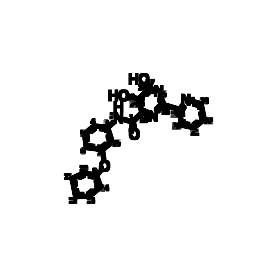 O=C(Nc1cccc(Oc2ccccc2)c1)c1nc(-c2ccccn2)nc(O)c1O